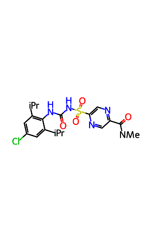 CNC(=O)c1cnc(S(=O)(=O)NC(=O)Nc2c(C(C)C)cc(Cl)cc2C(C)C)cn1